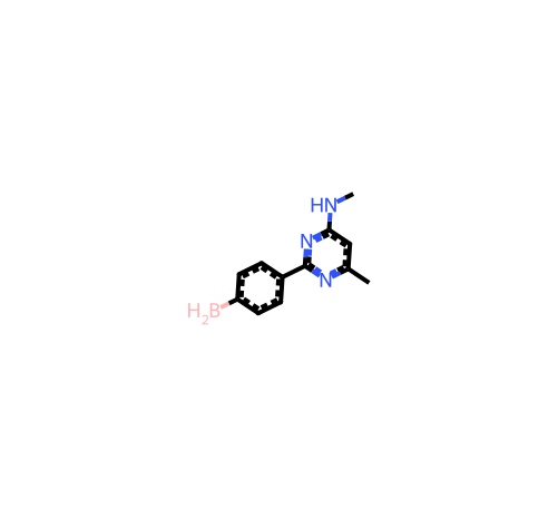 Bc1ccc(-c2nc(C)cc(NC)n2)cc1